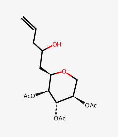 C=CCC(O)C[C@H]1OC[C@@H](OC(C)=O)[C@H](OC(C)=O)[C@H]1OC(C)=O